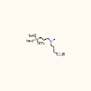 CO[Si](CCCN(C)CCCS(=O)(=O)O)(OC)OC